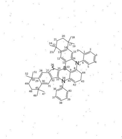 Cc1ccccc1N1C2=C3B(c4cc5c(cc41)C(C)(C)CCC5(C)C)c1sc4cc5c(cc4c1N(c1ccccc1)C3=CCC2)C(C)(C)CCC5(C)C